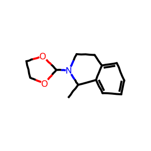 CC1c2ccccc2CCN1C1OCCO1